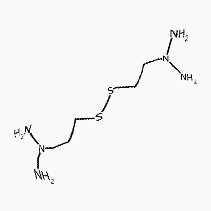 NN(N)CCSSCCN(N)N